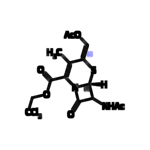 CC(=O)NC1C(=O)N2C(C(=O)OCC(Cl)(Cl)Cl)=C(C)/C(=C\OC(C)=O)S[C@H]12